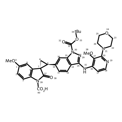 COc1ccc2c(c1)[C@]1(C[C@H]1c1ccc3c(Nc4ccnc(N5CCOCC5)c4OC)nn(C(=O)OC(C)(C)C)c3c1)C(=O)N2C(=O)O